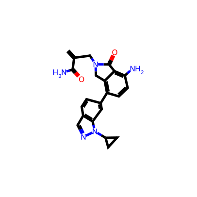 C=C(CN1Cc2c(-c3ccc4cnn(C5CC5)c4c3)ccc(N)c2C1=O)C(N)=O